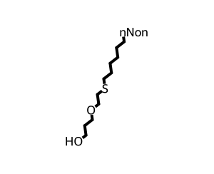 CCCCCCCCCCCCCCCSCCOCCCO